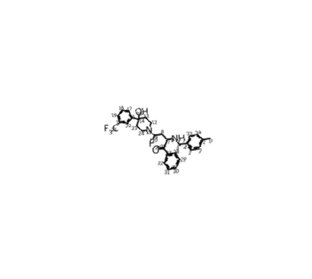 Cc1ccc(CNC(CC(F)N2CCC(O)(c3cccc(C(F)(F)F)c3)CC2)C(=O)c2ccccc2)cc1